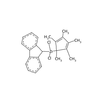 CC1=C(C)[C](C)([Zr]([Cl])([Cl])[CH]2c3ccccc3-c3ccccc32)C(C)=C1C